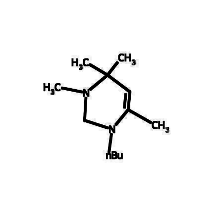 CCCCN1CN(C)C(C)(C)C=C1C